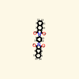 O=C1c2cc3c(cc2C(=O)N1c1ccc(N2C(=O)C4Cc5ccccc5CC4C2=O)cc1)CCCC3